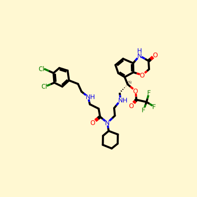 O=C1COc2c(cccc2[C@@H](CNCCN(C(=O)CCNCCc2ccc(Cl)c(Cl)c2)C2CCCCC2)OC(=O)C(F)(F)F)N1